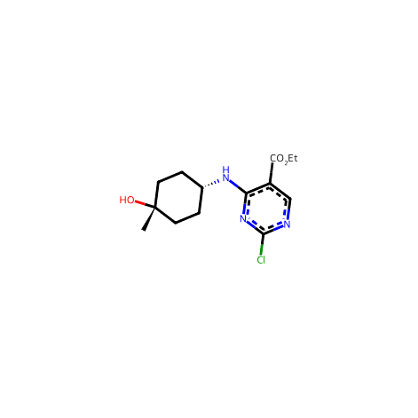 CCOC(=O)c1cnc(Cl)nc1N[C@H]1CC[C@@](C)(O)CC1